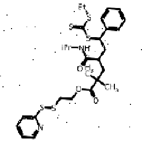 CCSC(=S)SC(CC(CC(C)(C)C(=O)OCCSSc1ccccn1)C(=O)NC(C)C)c1ccccc1